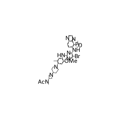 COc1cc(N2CCC(N3CC(N(C)C(C)=O)C3)CC2)c(C)cc1Nc1ncc(Br)c(Nc2ccc3nccnc3c2P(C)(C)=O)n1